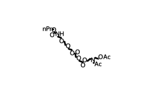 CCCOC(=O)NCCOCCOCCOC(=O)COCC(=O)OCCN(CCOC(C)=O)CC(C)=O